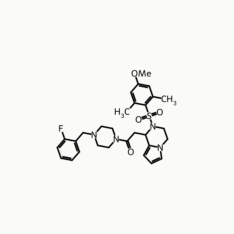 COc1cc(C)c(S(=O)(=O)N2CCn3cccc3C2CC(=O)N2CCN(Cc3ccccc3F)CC2)c(C)c1